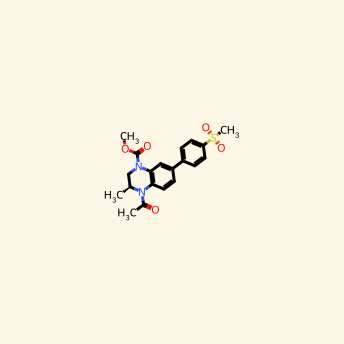 COC(=O)N1C[C@H](C)N(C(C)=O)c2ccc(-c3ccc(S(C)(=O)=O)cc3)cc21